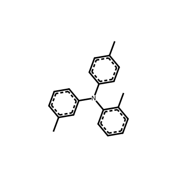 Cc1ccc(N(c2cccc(C)c2)c2ccccc2C)cc1